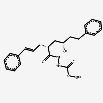 CC(C)(C)OC(=O)NNC(=O)[C@H](CC=Cc1ccccc1)C[C@@H](O)CCc1ccccc1